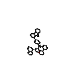 C1=CCC(c2ccccc2N(c2ccc(-c3cccc4c3sc3ccccc34)cc2)c2cccc(-c3cccc4ccccc34)c2)C=C1